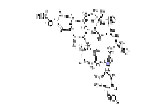 CCCCOc1ccc2c(c1)CCC1C2CC[C@]2(C)C(=O)C(CC(=O)O/N=C(\c3ccc(C)cc3)c3ccc([N+](=O)[O-])cc3)CC12